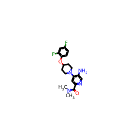 CN(C)C(=O)c1cc(N2CCC(Oc3ccc(F)cc3F)CC2)c(N)cn1